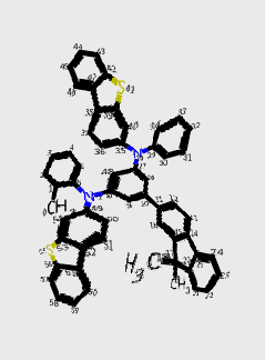 CC1CC=CC=C1N(c1cc(-c2ccc3c(c2)C(C)(C)c2ccccc2-3)cc(N(c2ccccc2)c2ccc3c(c2)sc2ccccc23)c1)c1ccc2c(c1)sc1ccccc12